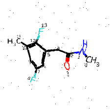 CNC(=O)Cc1cc(F)cc(C)c1F